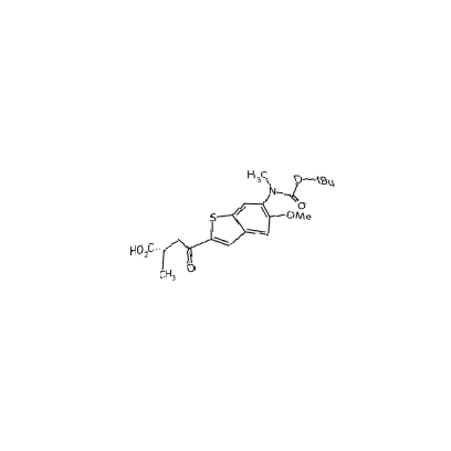 COc1cc2cc(C(=O)C[C@H](C)C(=O)O)sc2cc1N(C)C(=O)OC(C)(C)C